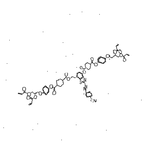 C=CC(=O)OCC(COc1ccc(OC(=O)C2CCC(C(=O)OCCc3ccc(OC(=O)C4CCC(C(=O)Oc5ccc(OCC(COC(=O)C=C)OC(=O)C=C)cc5)CC4)c4nc(/N=N/c5ccc(C#N)cc5)sc34)CC2)cc1)OC(=O)C=C